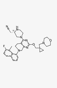 Cc1c(F)ccc2cccc(N3CCc4c(nc(OCC5(CN6CCOCC6)CC5)nc4N4CCN[C@@H](CC#N)C4)C3)c12